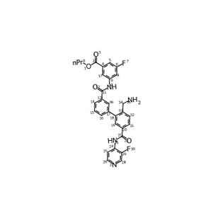 CCCOC(=O)c1cc(F)cc(NC(=O)c2cccc(-c3cc(C(=O)Nc4ccncc4F)ccc3CN)c2)c1